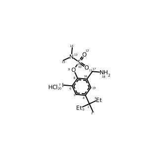 CCC(C)(CC)c1cc(I)c(OS(=O)(=O)N(C)C)c(CN)c1.Cl